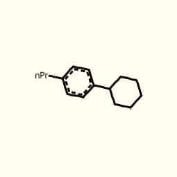 CCCc1ccc(C2C[CH]CCC2)cc1